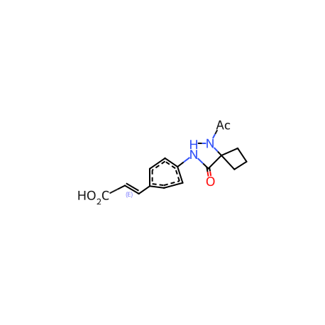 CC(=O)N(C)C1(C(=O)Nc2ccc(/C=C/C(=O)O)cc2)CCC1